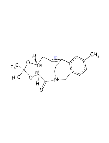 Cc1ccc2c(c1)/C1=C\C[C@H]3OC(C)(C)O[C@@H]3C(=O)N(CC1)C2